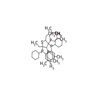 CCC1SC(CC)(P(C2CCCCC2)C2CCCCC2)C(P(CC(C)C)CC(C)C)C1(P(CC(C)C)CC(C)C)P(C1CCCCC1)C1CCCCC1